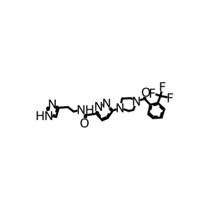 O=C(NCCc1c[nH]cn1)c1ccc(N2CCN(C(=O)c3ccccc3C(F)(F)F)CC2)nn1